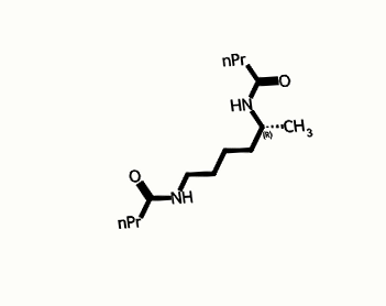 CCCC(=O)NCCCC[C@@H](C)NC(=O)CCC